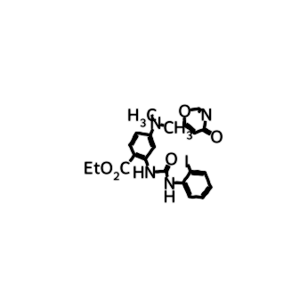 CCOC(=O)c1ccc(N(C)C)cc1NC(=O)Nc1ccccc1I.O=c1ccocn1